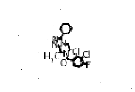 CC1c2nnc(C3CCCCC3)n2CCN1C(=O)c1ccc(F)c(Cl)c1Cl